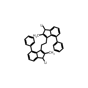 [Li][CH]1C(C)=C(CCC2=C(C)[CH]([Li])c3cccc(-c4ccccc4)c32)c2c(-c3ccccc3)cccc21